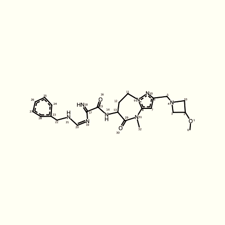 COC1CN(Cc2cc3n(n2)CCC(NC(=O)C(=N)/N=C\NCc2ccccc2)C(=O)N3C)C1